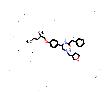 CCCC(C)COc1ccc(C(CNCC2CCOC2)NC(=O)Cc2ccccc2)cc1